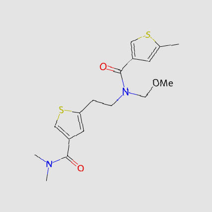 COCN(CCc1cc(C(=O)N(C)C)cs1)C(=O)c1csc(C)c1